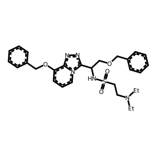 CCN(CC)CCS(=O)(=O)NC(COCc1ccccc1)c1nnc2c(OCc3ccccc3)cccn12